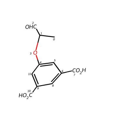 CC(C=O)Oc1cc(C(=O)O)cc(C(=O)O)c1